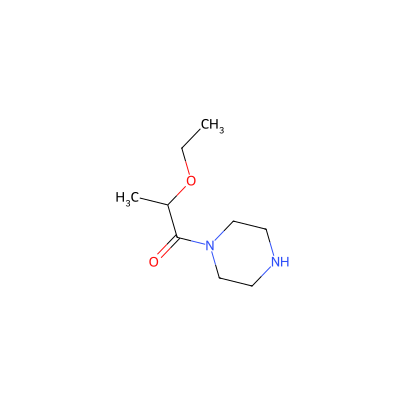 CCOC(C)C(=O)N1CCNCC1